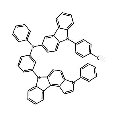 Cc1ccc(-n2c3ccccc3c3cc(N(c4ccccc4)c4cccc(-n5c6ccccc6c6c7ccn(-c8ccccc8)c7ccc65)c4)ccc32)cc1